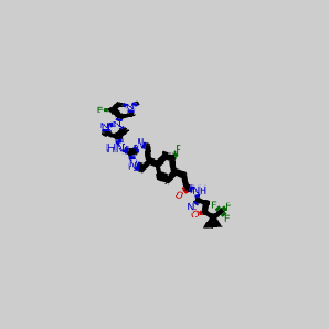 CN1CC(F)=C(n2cc(Nc3ncc(-c4ccc(CC(=O)Nc5cc(C6(C(F)(F)F)CC6)on5)c(F)c4)cn3)cn2)C1